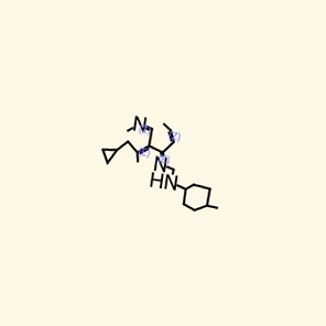 C\C=C/C(=N\CNC1CCC(C)CC1)C(/C=N\C)=C(\C)CC1CC1